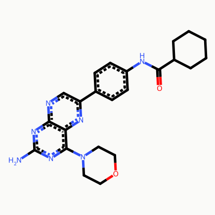 Nc1nc(N2CCOCC2)c2nc(-c3ccc(NC(=O)C4CCCCC4)cc3)cnc2n1